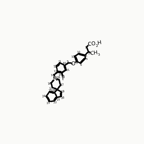 CC(CC(=O)O)c1ccc(OCc2ccc(CN3CCC4(C=Cc5ccccc54)CC3)c(F)c2)cc1